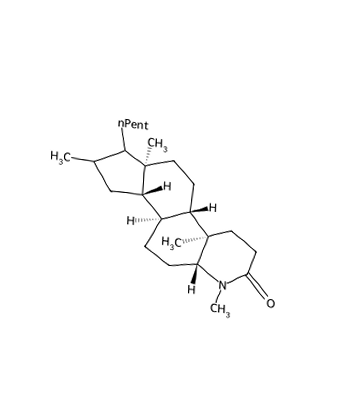 CCCCCC1C(C)C[C@H]2[C@@H]3CC[C@H]4N(C)C(=O)CC[C@]4(C)[C@H]3CC[C@]12C